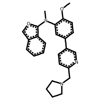 COc1ccc(-c2ccc(CN3CCCC3)nc2)cc1N(C)c1occ2ccccc12